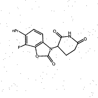 CCCc1ccc2c(oc(=O)n2C2CCC(=O)NC2=O)c1F